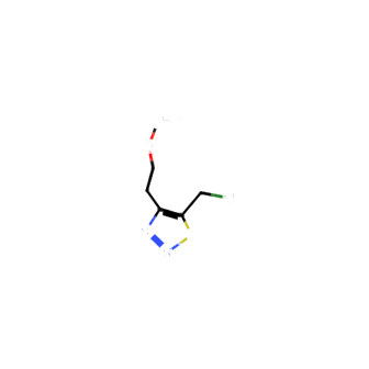 O=COCCc1nnsc1CCl